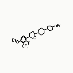 CCCC1CCC(C2CCC(C3CCC(c4ccc(OCC)c(C(F)(F)F)c4F)CO3)CC2)CC1